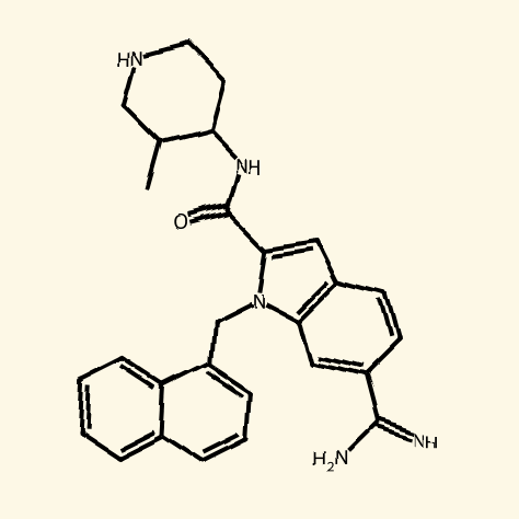 CC1CNCCC1NC(=O)c1cc2ccc(C(=N)N)cc2n1Cc1cccc2ccccc12